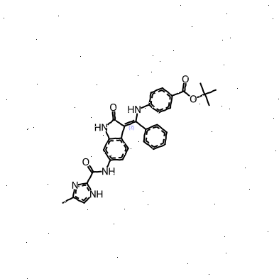 Cc1c[nH]c(C(=O)Nc2ccc3c(c2)NC(=O)/C3=C(\Nc2ccc(C(=O)OC(C)(C)C)cc2)c2ccccc2)n1